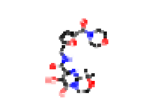 CC1(C)OCCn2c1nc(C(=O)NCc1ccc(C(=O)N3CCOCC3)o1)c(O)c2=O